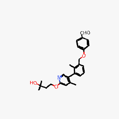 Cc1cc(OCCC(C)(C)O)ncc1-c1cccc(COc2ccc(C=O)cc2)c1C